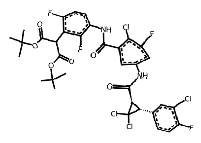 CC(C)(C)OC(=O)C(C(=O)OC(C)(C)C)c1c(F)ccc(NC(=O)c2cc(NC(=O)[C@H]3[C@H](c4ccc(F)c(Cl)c4)C3(Cl)Cl)cc(F)c2Cl)c1F